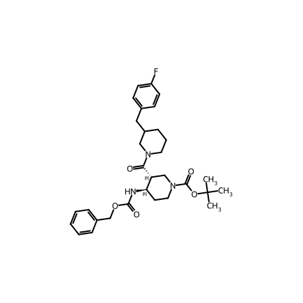 CC(C)(C)OC(=O)N1CC[C@@H](NC(=O)OCc2ccccc2)[C@H](C(=O)N2CCCC(Cc3ccc(F)cc3)C2)C1